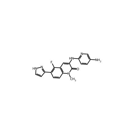 Cn1c(=O)c(Nc2ccc(N)cn2)cc2c(F)c(-c3cc[nH]n3)ccc21